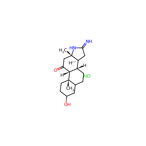 C[C@]12CCC(O)CC1CC[C@@H]1[C@H]2C(=O)C[C@]2(C)NC(=N)C[C@@H]12.Cl